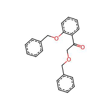 O=C(COCc1ccccc1)c1ccccc1OCc1ccccc1